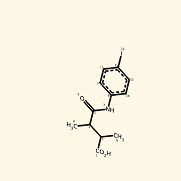 CC(C(=O)O)C(C)C(=O)Nc1ccc(I)cc1